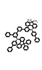 CC1(C)c2ccccc2-c2c(N(c3ccc(-c4ccccc4)cc3)c3ccc(-c4cccc(-c5cc(-c6ccccc6)cc(N(c6ccc(-c7ccccc7)cc6)c6cccc7c6-c6ccccc6C7(c6ccccc6)c6ccccc6)c5)c4)cc3)cccc21